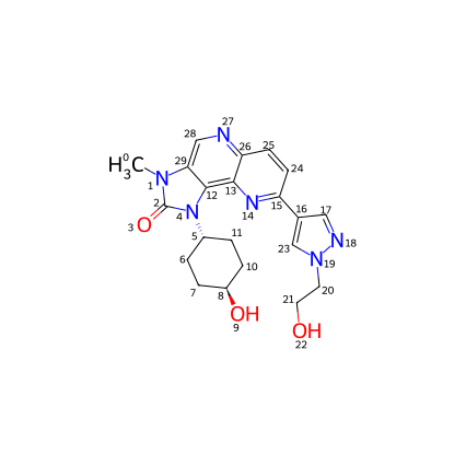 Cn1c(=O)n([C@H]2CC[C@H](O)CC2)c2c3nc(-c4cnn(CCO)c4)ccc3ncc21